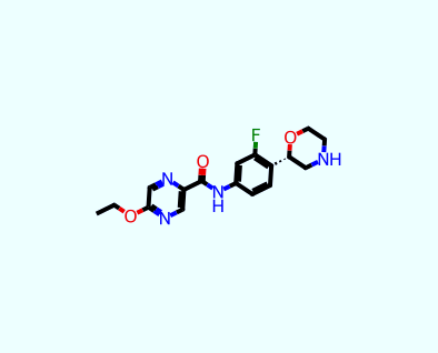 CCOc1cnc(C(=O)Nc2ccc([C@H]3CNCCO3)c(F)c2)cn1